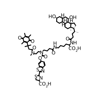 CC1=C(C)C(=O)C(C(C)(C)CC(=O)N(C)CCN(CCCC(=O)NCCCCC(NC(=O)CC[C@@H](C)[C@H]2CC[C@H]3[C@@H]4[C@@H](O)C[C@@H]5C[C@H](O)CC[C@]5(C)[C@H]4CC[C@]23C)C(=O)O)C(=O)Oc2ccc3nc(C4=NC(C(=O)O)CS4)sc3c2)=C(C)C1=O